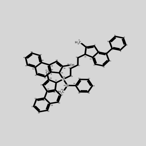 CC1=Cc2c(-c3ccccc3)cccc2C1CCC[CH2][Ti]([CH]1C(C)=Cc2c1ccc1ccccc21)([CH]1C(C)=Cc2c1ccc1ccccc21)[Si](C)c1ccccc1